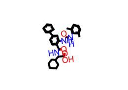 Cc1cccc(C)c1NC(=O)Nc1cc(-c2ccccc2)ccc1C(=O)N[C@H](C(=O)O)C1CCCCC1